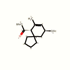 COC(=O)[C@@H]1C(C)=C[C@@H](OC(C)=O)CC12CCCC2